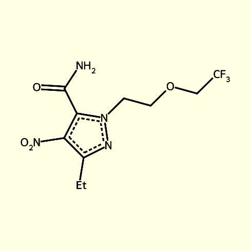 CCc1nn(CCOCC(F)(F)F)c(C(N)=O)c1[N+](=O)[O-]